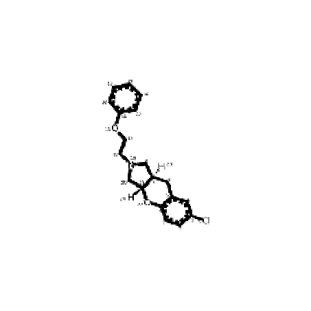 Clc1ccc2c(c1)C[C@@H]1CN(CCOc3ccccc3)C[C@H]1O2